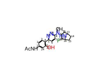 CC(=O)Nc1ccc(-c2ccc(N(C)[C@@H]3CC4CCC(N4)[C@@H]3F)nn2)c(O)c1